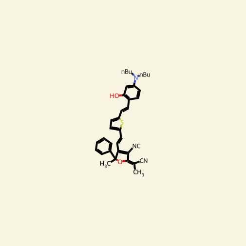 [C-]#[N+]C1=C(/C=C/c2ccc(/C=C/c3ccc(N(CCCC)CCCC)cc3O)s2)C(C)(c2ccccc2)O/C1=C(\C)C#N